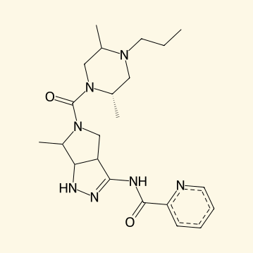 CCCN1C[C@H](C)N(C(=O)N2CC3C(NC(=O)c4ccccn4)=NNC3C2C)CC1C